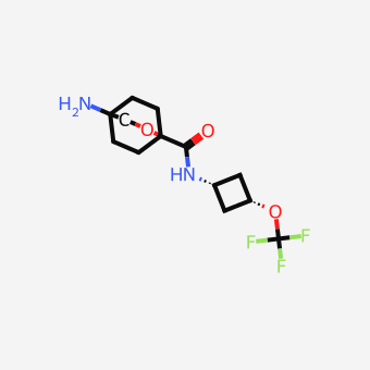 NC12CCC(C(=O)N[C@H]3C[C@@H](OC(F)(F)F)C3)(CC1)OC2